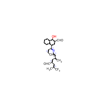 C=C(/C=C/N=C(\C=C/C)c1cc(C=O)c(O)c2ccccc12)/C=C(C=O)\C=C(/C)C(F)(F)F